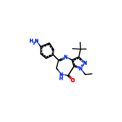 CCn1nc(C(C)(C)C)c2c1C(=O)NCC(c1ccc(N)cc1)=N2